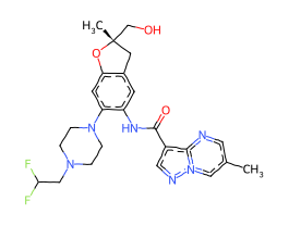 Cc1cnc2c(C(=O)Nc3cc4c(cc3N3CCN(CC(F)F)CC3)O[C@](C)(CO)C4)cnn2c1